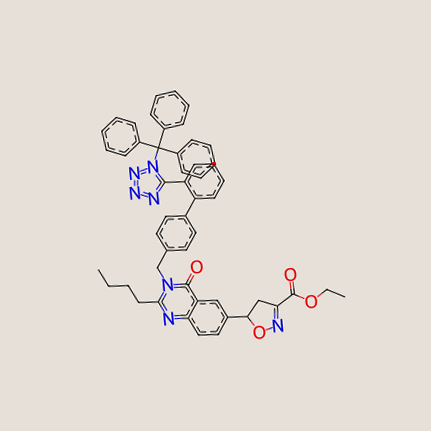 CCCCc1nc2ccc(C3CC(C(=O)OCC)=NO3)cc2c(=O)n1Cc1ccc(-c2ccccc2-c2nnnn2C(c2ccccc2)(c2ccccc2)c2ccccc2)cc1